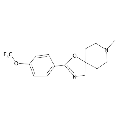 CN1CCC2(CC1)CN=C(c1ccc(OC(F)(F)F)cc1)O2